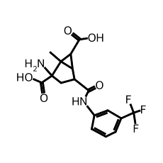 CC12C(C(=O)O)C1C(C(=O)Nc1cccc(C(F)(F)F)c1)CC2(N)C(=O)O